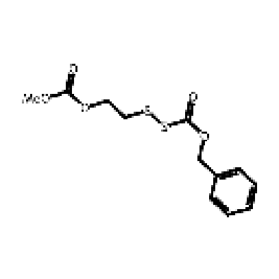 COC(=O)OCCSSC(=O)OCc1ccccc1